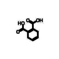 O=C(O)C1=C(C(=O)O)CC=CC1